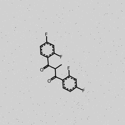 CC(C(=O)c1ccc(F)cc1F)C(=O)c1ccc(F)cc1F